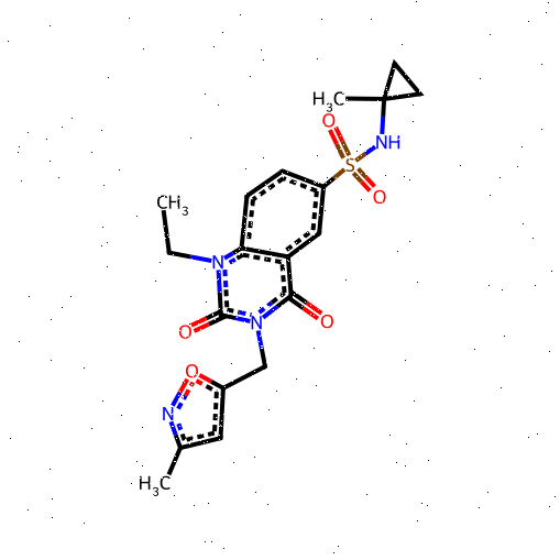 CCn1c(=O)n(Cc2cc(C)no2)c(=O)c2cc(S(=O)(=O)NC3(C)CC3)ccc21